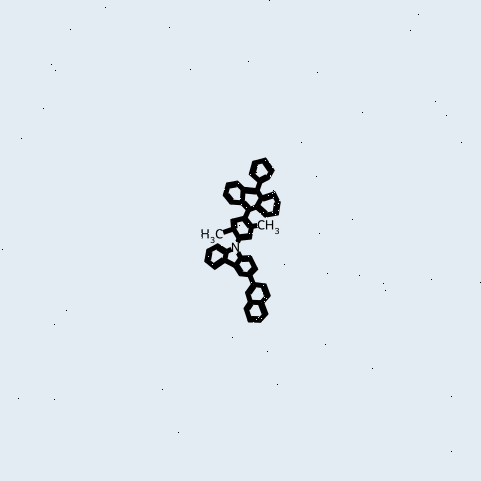 Cc1cc(-n2c3ccccc3c3cc(-c4ccc5ccccc5c4)ccc32)c(C)cc1-c1c2ccccc2c(-c2ccccc2)c2ccccc12